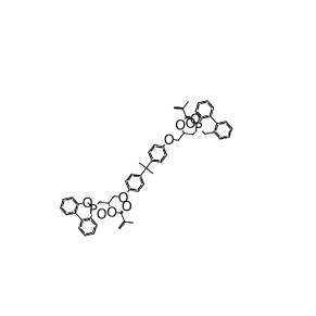 C=C(C)C(=O)OC(COc1ccc(C(C)(C)c2ccc(OCC(CP3(=O)Oc4ccccc4-c4ccccc43)OC(=O)C(=C)C)cc2)cc1)CP1(=O)Cc2ccccc2-c2ccccc21